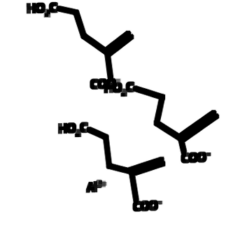 C=C(CCC(=O)O)C(=O)[O-].C=C(CCC(=O)O)C(=O)[O-].C=C(CCC(=O)O)C(=O)[O-].[Al+3]